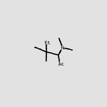 CCC(C)(C)C(C(C)=O)N(C)C